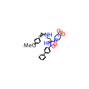 COc1ccc([C@@H]2C[C@H]2NCC[C@H](NC(=O)c2ccc(-c3ccccc3)cc2)C(=O)N2CCN(S(C)(=O)=O)CC2)cc1